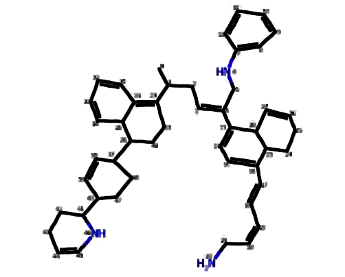 CC(C/C=C(\CNc1ccccc1)C1=CC=C(/C=C/C=C\CN)C2CCC=CC12)C1=C2C=CC=CC2C(C2C=CC(C3CCC=CN3)CC2)CC1